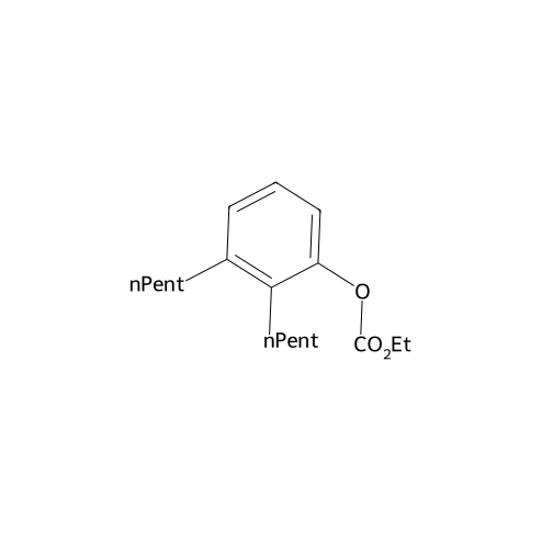 CCCCCc1cccc(OC(=O)OCC)c1CCCCC